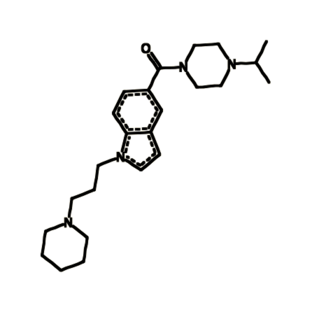 CC(C)N1CCN(C(=O)c2ccc3c(ccn3CCCN3CCCCC3)c2)CC1